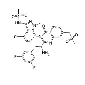 Cn1nc(NS(C)(=O)=O)c2c(Cl)ccc(-n3c(C(N)Cc4cc(F)cc(F)c4)nc4cc(CS(C)(=O)=O)ccc4c3=O)c21